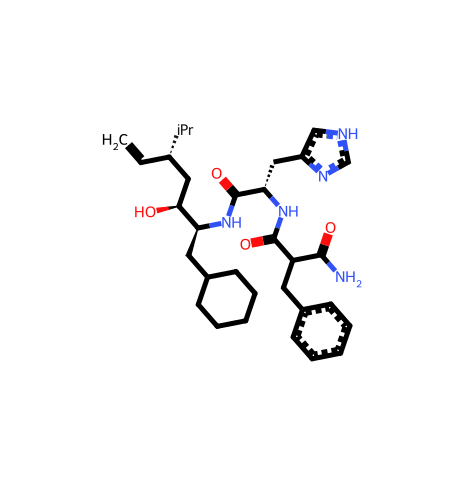 C=C[C@@H](C[C@H](O)[C@H](CC1CCCCC1)NC(=O)[C@H](Cc1c[nH]cn1)NC(=O)C(Cc1ccccc1)C(N)=O)C(C)C